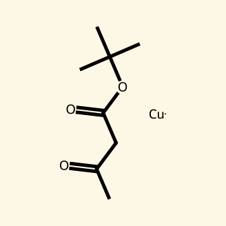 CC(=O)CC(=O)OC(C)(C)C.[Cu]